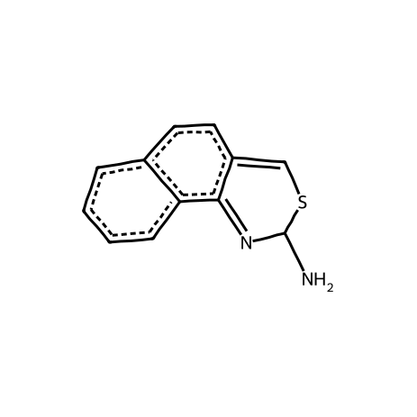 NC1N=c2c(ccc3ccccc23)=CS1